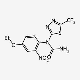 CCOc1ccc(N(C(N)=O)c2nnc(C(F)(F)F)s2)c([N+](=O)[O-])c1